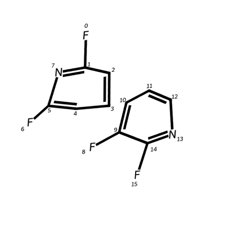 Fc1cccc(F)n1.Fc1cccnc1F